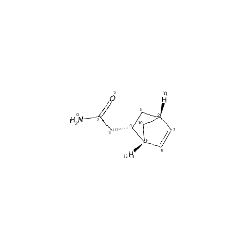 NC(=O)C[C@@H]1C[C@@H]2C=C[C@H]1C2